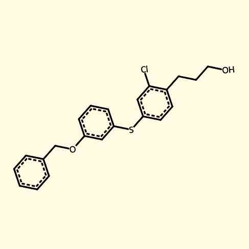 OCCCc1ccc(Sc2cccc(OCc3ccccc3)c2)cc1Cl